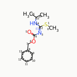 CS/C(=N/C(=O)OCc1ccccc1)NC(C)C